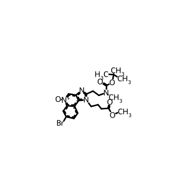 COC(=O)CCCn1c(CCN(C)C(=O)OC(C)(C)C)nc2c[n+]([O-])c3cc(Br)ccc3c21